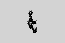 CN(Cc1ccncc1)c1ccc(N2C(=O)Cc3ccc(NCC4CCCC4)cc3C2c2ccc(Cl)cc2)cc1